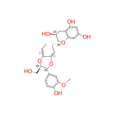 C/C=C1/O[C@H](CO)[C@@H](c2ccc(O)c(OC)c2)O/C1=C/C[C@H]1Oc2cc(O)cc(O)c2C[C@@H]1O